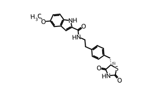 COc1ccc2[nH]c(C(=O)NCCc3ccc(C[C@@H]4SC(=O)NC4=O)cc3)cc2c1